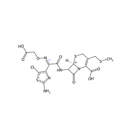 CSCC1=C(C(=O)O)N2C(=O)C(NC(=O)/C(=N/OCC(=O)O)c3nc(N)sc3Cl)[C@H]2SC1